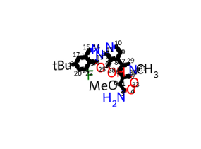 COC(C(N)=O)c1cc(-c2ccnc(-n3ncc4cc(C(C)(C)C)cc(F)c4c3=O)c2CO)cn(C)c1=O